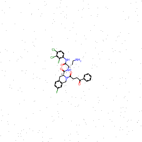 NCC[C@H](NC(=O)[C@@H]1Cc2ccc(F)cc2CN1C(=O)CCC(=O)c1ccccc1)C(=O)Nc1ccc(Cl)c(Cl)c1F